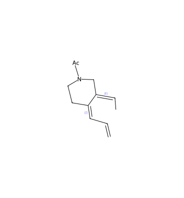 C=C/C=C1/CCN(C(C)=O)C/C1=C/C